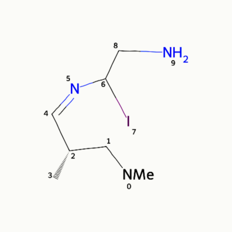 CNC[C@H](C)/C=N\C(I)CN